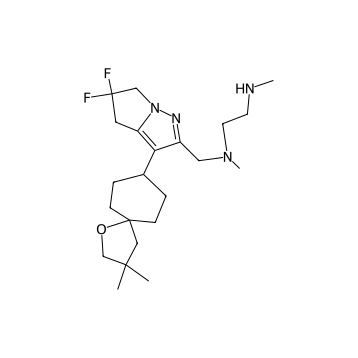 CNCCN(C)Cc1nn2c(c1C1CCC3(CC1)CC(C)(C)CO3)CC(F)(F)C2